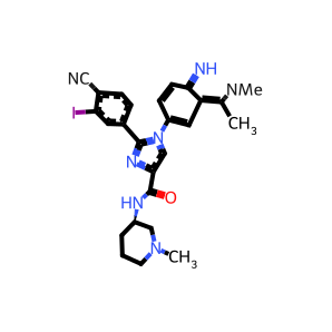 CN/C(C)=C1/C=C(n2cc(C(=O)N[C@@H]3CCCN(C)C3)nc2-c2ccc(C#N)c(I)c2)C=CC1=N